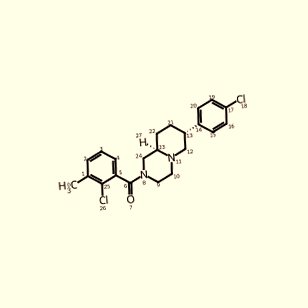 Cc1cccc(C(=O)N2CCN3C[C@@H](c4ccc(Cl)cc4)CC[C@@H]3C2)c1Cl